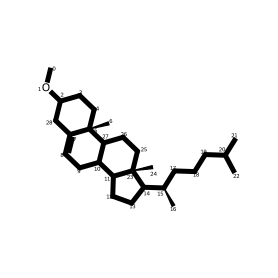 COC1CC[C@@]2(C)C(=CCC3C4CCC([C@H](C)CCCC(C)C)[C@@]4(C)CCC32)C1